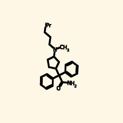 CC(C)CCCN(C)C1CCC(C(C(N)=O)(c2ccccc2)c2ccccc2)C1